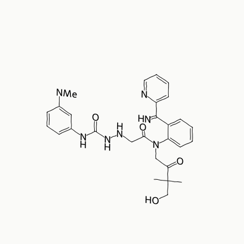 CNc1cccc(NC(=O)NNCC(=O)N(CC(=O)C(C)(C)CO)c2ccccc2C(=N)c2ccccn2)c1